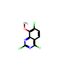 COc1c(Cl)ccc2c(Cl)nc(Cl)nc12